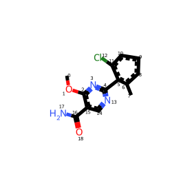 COc1nc(-c2c(C)cccc2Cl)ncc1C(N)=O